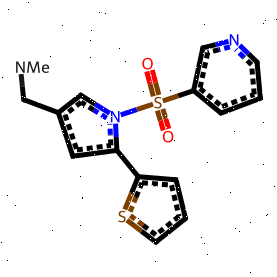 CNCc1cc(-c2cccs2)n(S(=O)(=O)c2cccnc2)c1